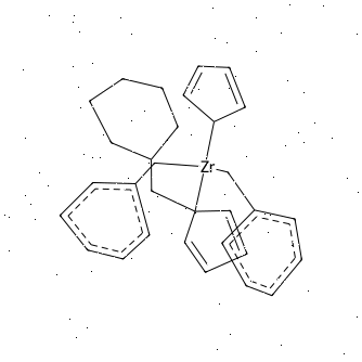 C1=C[CH]([Zr]([CH2]c2ccccc2)([CH2]c2ccccc2)[C]2(CC3CCCCC3)C=CC=C2)C=C1